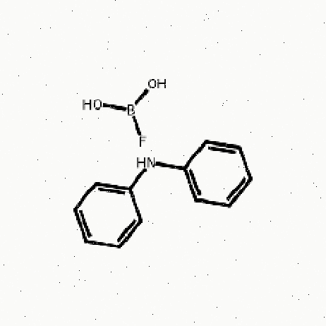 OB(O)F.c1ccc(Nc2ccccc2)cc1